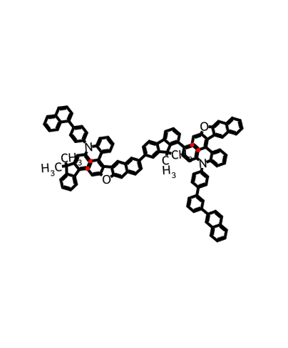 CC1(C)c2ccccc2-c2ccc(N(c3ccc(-c4cccc5ccccc45)cc3)c3ccccc3-c3cccc4oc5cc6ccc(-c7ccc8c(c7)C(C)(C)c7c(-c9ccc(N(c%10ccc(-c%11cccc(-c%12ccc%13ccccc%13c%12)c%11)cc%10)c%10ccccc%10-c%10cccc%11oc%12cc%13ccccc%13cc%12c%10%11)cc9)cccc7-8)cc6cc5c34)cc21